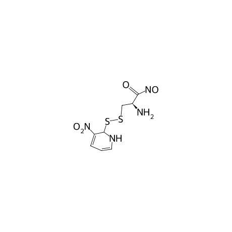 N[C@@H](CSSC1NC=CC=C1[N+](=O)[O-])C(=O)N=O